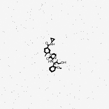 COc1ccccc1[C@H](Nc1nccn(-c2cc(C(=O)NC3CC3)ccc2C)c1=O)[C@@H](C)CO